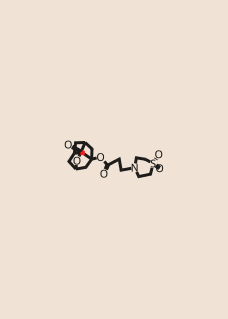 O=C(CCN1CCS(=O)(=O)CC1)OC12CC3CC(C1)OC(=O)C(C3)C2